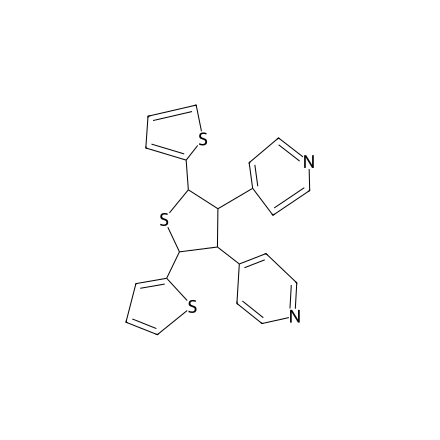 c1csc(C2SC(c3cccs3)C(c3ccncc3)C2c2ccncc2)c1